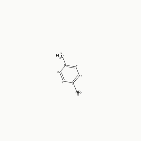 [CH2]CCc1ccc(C)cc1